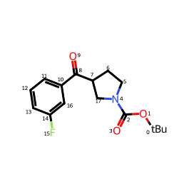 CC(C)(C)OC(=O)N1CCC(C(=O)c2cccc(F)c2)C1